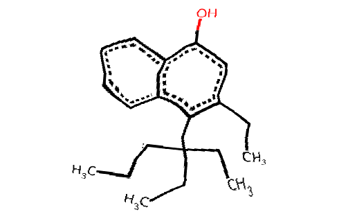 CC[C]C(CC)(CC)c1c(CC)cc(O)c2ccccc12